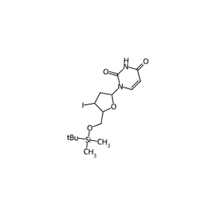 CC(C)(C)[Si](C)(C)OCC1OC(n2ccc(=O)[nH]c2=O)CC1I